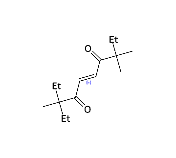 CCC(C)(C)C(=O)/C=C/C(=O)C(C)(CC)CC